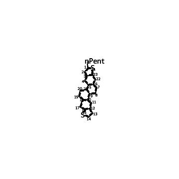 CCCCCc1cc2cc3c(ccc4c5cc6ccsc6cc5ccc34)cc2s1